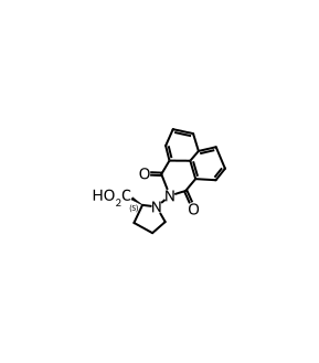 O=C(O)[C@@H]1CCCN1N1C(=O)c2cccc3cccc(c23)C1=O